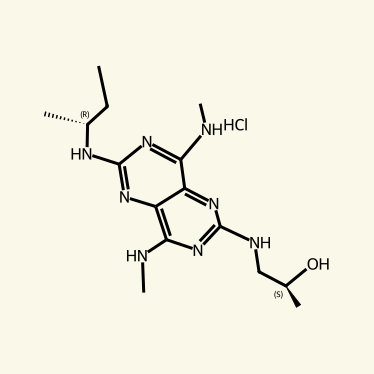 CC[C@@H](C)Nc1nc(NC)c2nc(NC[C@H](C)O)nc(NC)c2n1.Cl